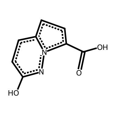 O=C(O)c1ccc2ccc(O)nn12